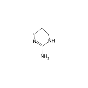 NC1=N[C]CCN1